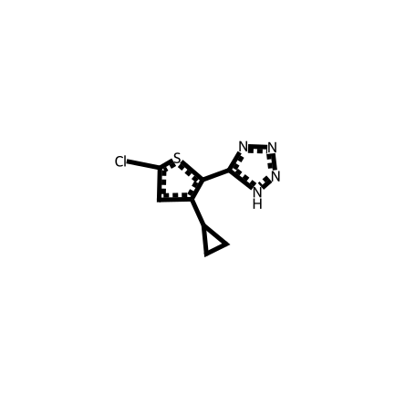 Clc1cc(C2CC2)c(-c2nnn[nH]2)s1